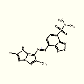 Cc1nn2nc(Cl)[nH]c2c1/N=N/c1ccc(S(=O)(=O)N(C)C)c2nsnc12